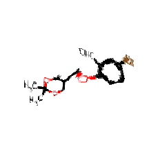 CC1(C)OCC(COc2ccc(Br)cc2C=O)CO1